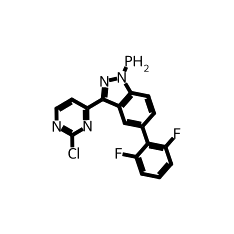 Fc1cccc(F)c1-c1ccc2c(c1)c(-c1ccnc(Cl)n1)nn2P